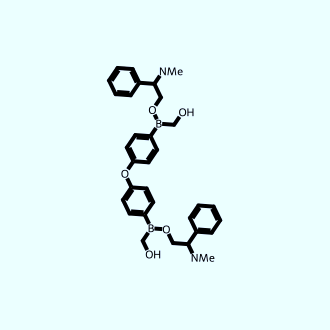 CNC(COB(CO)c1ccc(Oc2ccc(B(CO)OCC(NC)c3ccccc3)cc2)cc1)c1ccccc1